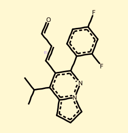 CC(C)c1c(/C=C/C=O)c(-c2ccc(F)cc2F)nn2cccc12